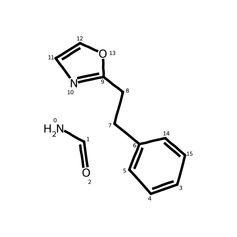 NC=O.c1ccc(CCc2ncco2)cc1